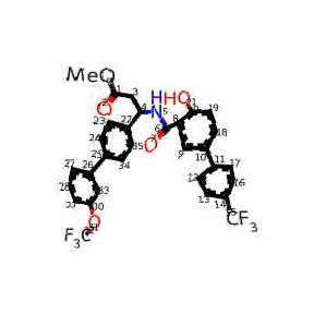 COC(=O)CC(NC(=O)c1cc(-c2ccc(C(F)(F)F)cc2)ccc1O)c1ccc(-c2cccc(OC(F)(F)F)c2)cc1